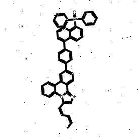 C/C=C\C=C/c1cnc2c3ccc(-c4ccc(-c5cccc6c(P(=O)(c7ccccc7)c7ccccc7)cccc56)cc4)cc3c3ccccc3n12